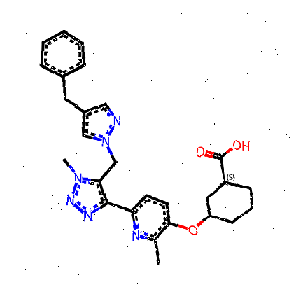 Cc1nc(-c2nnn(C)c2Cn2cc(Cc3ccccc3)cn2)ccc1OC1CCC[C@H](C(=O)O)C1